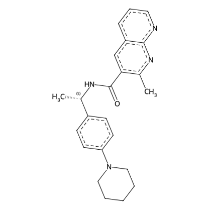 Cc1nc2ncccc2cc1C(=O)N[C@@H](C)c1ccc(N2CCCCC2)cc1